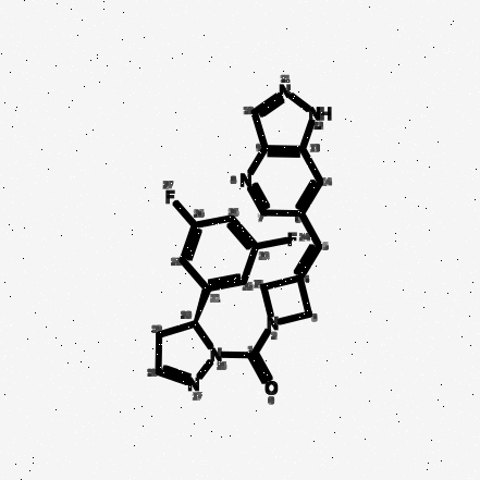 O=C(N1CC(=Cc2cnc3cn[nH]c3c2)C1)N1N=CC[C@H]1c1cc(F)cc(F)c1